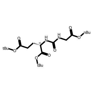 CCCCOC(=O)CNC(=O)N[C@@H](CCC(=O)OC(C)(C)C)C(=O)OC(C)(C)C